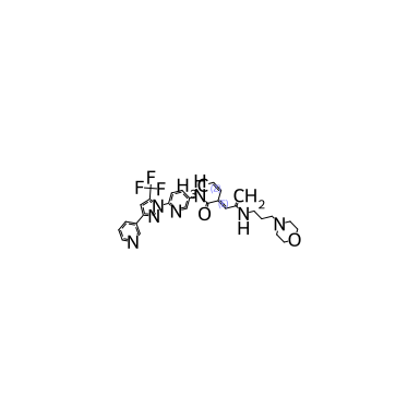 C=C(/C=C(\C=C/C)C(=O)Nc1ccc(-n2nc(-c3cccnc3)cc2C(F)(F)F)nc1)NCCCN1CCOCC1